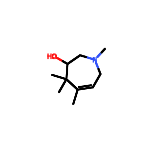 CC1=CCN(C)CC(O)C1(C)C